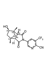 C[C@@]12O[C@@](C)(C[C@H]1O)[C@@H]1C(=O)N(c3cnc(C#N)c(C(F)(F)F)c3)C(=O)[C@H]12